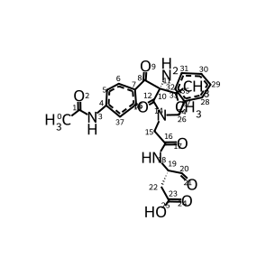 CC(=O)Nc1ccc(C(=O)[C@](N)(C(=O)N(CC(=O)N[C@H](C=O)CC(=O)O)Cc2ccccc2)C(C)C)cc1